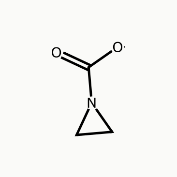 [O]C(=O)N1CC1